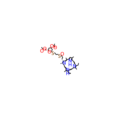 C=Cc1c(C)c2cc3nc(c(C)c4cc(C)c(cc5nc(cc1[nH]2)C(C)=C5CC)[nH]4)[C@@H](CCC(=O)SCCCS[C@H]1C[C@@H](OC(C)=O)C[C@@H](COC(C)=O)O1)[C@@H]3C